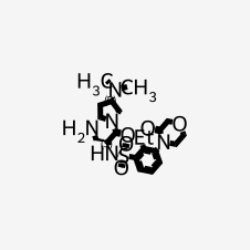 CCc1c(N2CCOCC2=O)cccc1S(=O)(=O)N[C@@H](CN)C(=O)N1CC[C@@H](N(C)C)C1